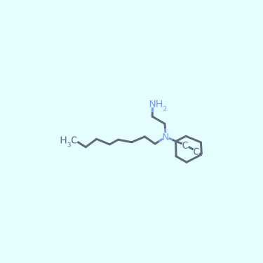 CCCCCCCCN(CCN)C12CCC(CC1)CC2